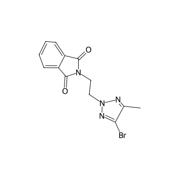 Cc1nn(CCN2C(=O)c3ccccc3C2=O)nc1Br